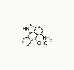 Nc1ccc2c3c(c4ccccc4c(C=O)c13)NS2